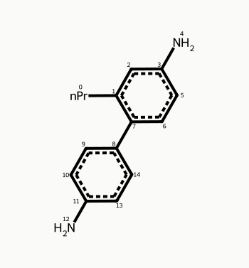 CCCc1cc(N)ccc1-c1ccc(N)cc1